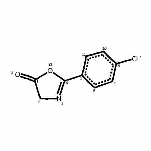 O=C1CN=C(c2ccc(Cl)cc2)O1